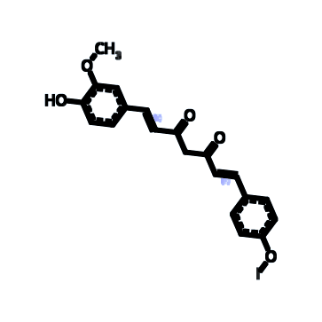 COc1cc(/C=C/C(=O)CC(=O)/C=C/c2ccc(OI)cc2)ccc1O